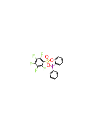 O=S(=O)(O[I+](c1ccccc1)c1ccccc1)c1c(F)c(F)c(F)c(F)c1F